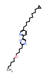 CCCCCCOCCCCc1cnc(-c2ccc(CCCCCCCCCC3CC3)cn2)cn1